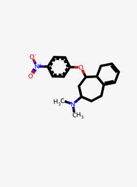 CN(C)C1CCC2=CC=CCC2C(Oc2ccc([N+](=O)[O-])cc2)C1